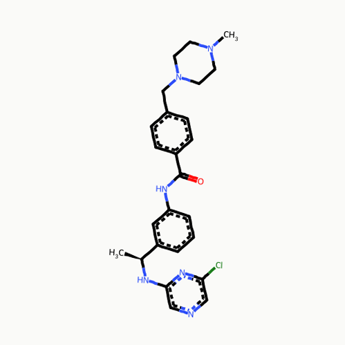 C[C@H](Nc1cncc(Cl)n1)c1cccc(NC(=O)c2ccc(CN3CCN(C)CC3)cc2)c1